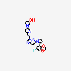 OC1CCN(c2ccc(/C=C/c3cnc4ccc(N5CCC[C@@H]5c5cc(F)cc6c5OCCO6)nn34)nc2)C1